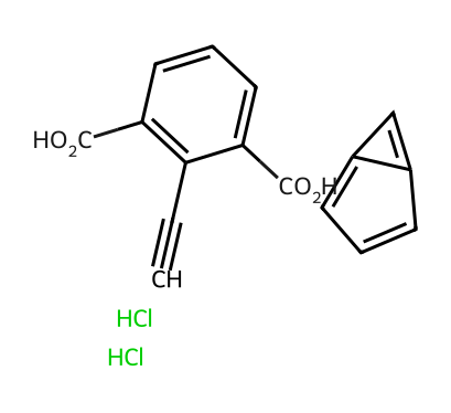 C#Cc1c(C(=O)O)cccc1C(=O)O.Cl.Cl.c1cc2cc-2c1